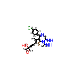 CC(=N)N1C(=N)CN=C(c2ccc(Cl)cc2)c2c1sc(C#CC1(O)COC1)c2C